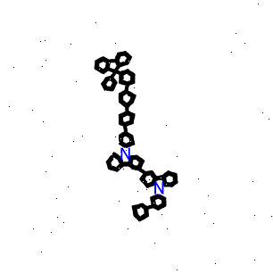 c1ccc(-c2cccc(-n3c4ccccc4c4cc(-c5ccc6c(c5)c5ccccc5n6-c5ccc(-c6ccc(-c7ccc(-c8cccc(C9(c%10ccccc%10)c%10ccccc%10-c%10ccccc%109)c8)cc7)cc6)cc5)ccc43)c2)cc1